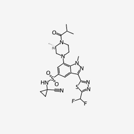 CC(C)C(=O)N1CCN(c2cc(S(=O)(=O)NC3(C#N)CC3)cc3c(-c4nnc(C(F)F)s4)nn(C)c23)C[C@@H]1C